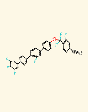 CCCCCc1ccc(C(F)(F)Oc2ccc(-c3ccc(-c4ccc(-c5cc(F)c(F)c(F)c5)cc4)c(F)c3)cc2)c(F)c1